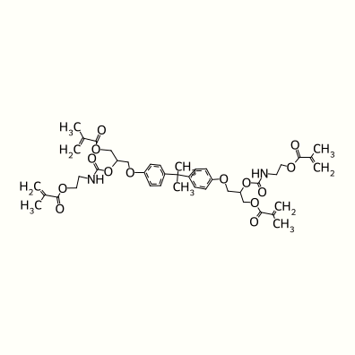 C=C(C)C(=O)OCCNC(=O)OC(COC(=O)C(=C)C)COc1ccc(C(C)(C)c2ccc(OCC(COC(=O)C(=C)C)OC(=O)NCCOC(=O)C(=C)C)cc2)cc1